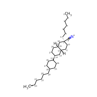 CCCCCCC[C@]1(C#N)CC[C@@H]2C[C@@H](C3CCC(CCCCCC)CC3)CC[C@@H]2C1